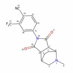 CN1CC2CCC1C1C(=O)N(c3ccc(C#N)c(C(F)(F)F)c3)C(=O)C21